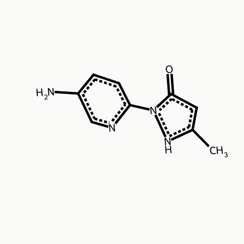 Cc1cc(=O)n(-c2ccc(N)cn2)[nH]1